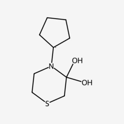 OC1(O)CSCCN1[C]1CCCC1